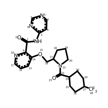 O=C(Nc1ccncn1)c1ncccc1OCC1CCCN1C(=O)C1CCC(C(F)(F)F)CC1